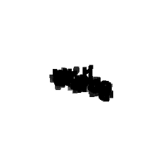 Cc1nc2ncccn2c1-c1ccnc(Nc2ccc3c(c2)OCO3)n1